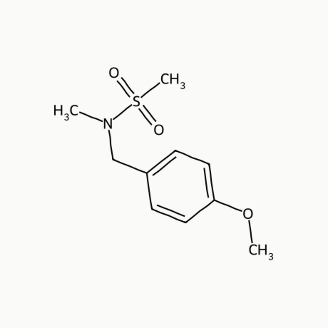 COc1ccc(CN(C)S(C)(=O)=O)cc1